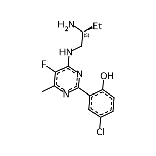 CC[C@H](N)CNc1nc(-c2cc(Cl)ccc2O)nc(C)c1F